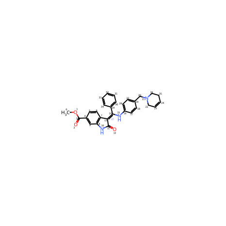 COC(=O)c1ccc2c(c1)NC(=O)/C2=C(\Nc1ccc(CN2CC=CCC2)cc1)c1ccccc1